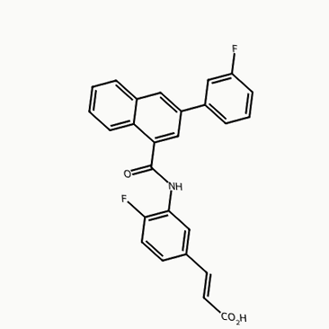 O=C(O)C=Cc1ccc(F)c(NC(=O)c2cc(-c3cccc(F)c3)cc3ccccc23)c1